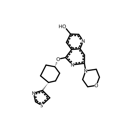 Oc1cnc2cc(N3CCOCC3)nc(O[C@H]3CC[C@@H](c4cscn4)CC3)c2c1